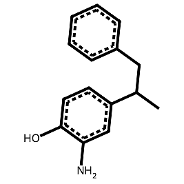 CC(Cc1ccccc1)c1ccc(O)c(N)c1